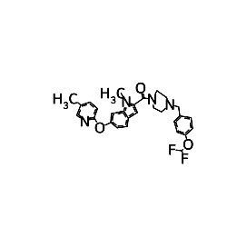 Cc1ccc(Oc2ccc3cc(C(=O)N4CCN(Cc5ccc(OC(F)F)cc5)CC4)n(C)c3c2)nc1